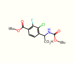 CC(C)(C)OC(=O)NC(C(=O)O)c1ccc(C(=O)OC(C)(C)C)c(F)c1Cl